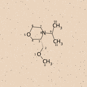 COC[C@@H]1COCCN1C(C)C